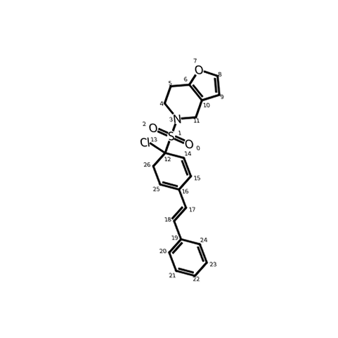 O=S(=O)(N1CCc2occc2C1)C1(Cl)C=CC(C=Cc2ccccc2)=CC1